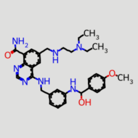 CCN(CC)CCNCc1cc(C(N)=O)c2ncnc(NCc3cccc(NC(O)c4ccc(OC)cc4)c3)c2c1